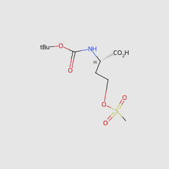 CC(C)(C)OC(=O)N[C@@H](CCOS(C)(=O)=O)C(=O)O